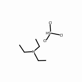 CCN(CC)CC.Cl[SiH](Cl)Cl